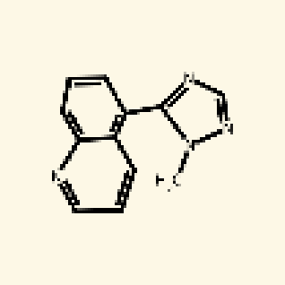 Cn1ncnc1-c1cccc2ncccc12